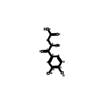 O=C(O)CC(Br)C(=O)c1ccc(Cl)c(Cl)c1